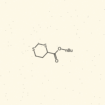 CCCCOC(=O)C1CCS[CH]S1